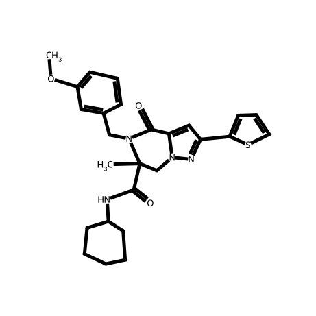 COc1cccc(CN2C(=O)c3cc(-c4cccs4)nn3CC2(C)C(=O)NC2CCCCC2)c1